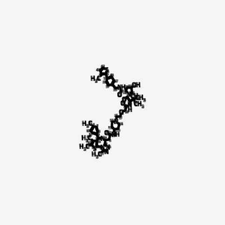 Cc1ccc(C2=NC(CC(=O)NC3CCN(CCOCC(=O)N[C@H](C(=O)N4CC(O)C[C@H]4C(=O)NCc4ccc(-c5sccc5C)cc4)C(C)(C)C)CC3)c3nnc(C)n3-c3sc(C)c(C)c32)cc1